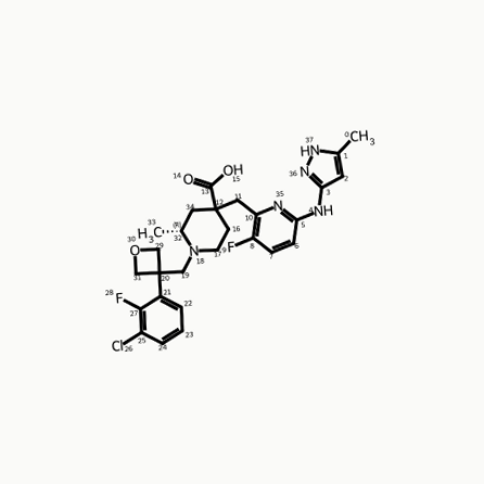 Cc1cc(Nc2ccc(F)c(CC3(C(=O)O)CCN(CC4(c5cccc(Cl)c5F)COC4)[C@H](C)C3)n2)n[nH]1